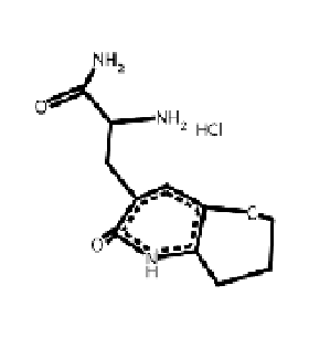 Cl.NC(=O)C(N)Cc1cc2c([nH]c1=O)CCCC2